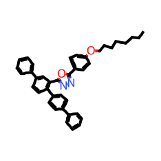 CCCCCCCCOc1ccc(-c2nnc(-c3cc(-c4ccccc4)ccc3-c3ccc(-c4ccccc4)cc3)o2)cc1